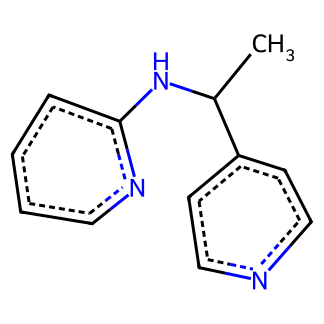 CC(Nc1ccccn1)c1ccncc1